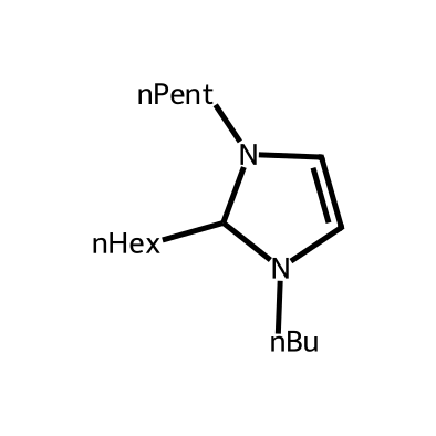 CCCCCCC1N(CCCC)C=CN1CCCCC